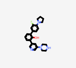 Oc1c(-c2cncc(N3CCNCC3)c2)cccc1-c1ccc(N2CCCC2)c(F)c1